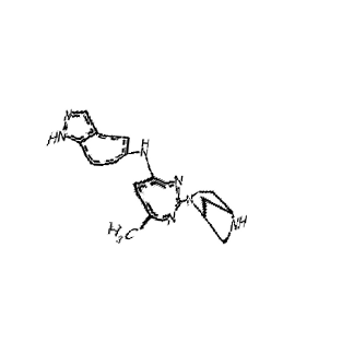 Cc1cc(Nc2ccc3[nH]ncc3c2)nc(N2CC3CC2CN3)n1